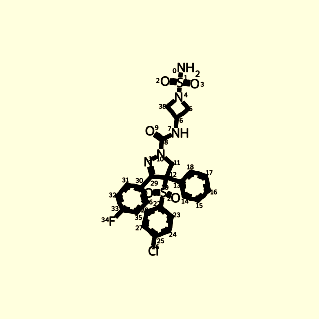 NS(=O)(=O)N1CC(NC(=O)N2CC(c3ccccc3)(S(=O)(=O)c3ccc(Cl)cc3)C(c3ccc(F)cc3)=N2)C1